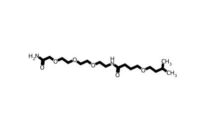 CC(C)CCOCCCC(=O)NCCOCCOCCOCC(N)=O